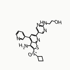 Nc1c([S+]([O-])C2CCC2)sc2nc(-c3cnc(NCCO)nc3)cc(-c3cccnc3)c12